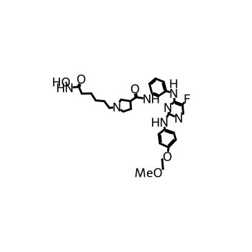 COCCOc1ccc(Nc2ncc(F)c(Nc3cccc(NC(=O)C4CCN(CCCCCC(=O)NO)C4)c3)n2)cc1